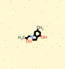 Cc1cc(O)c2ccn(CC(C)O)c2c1